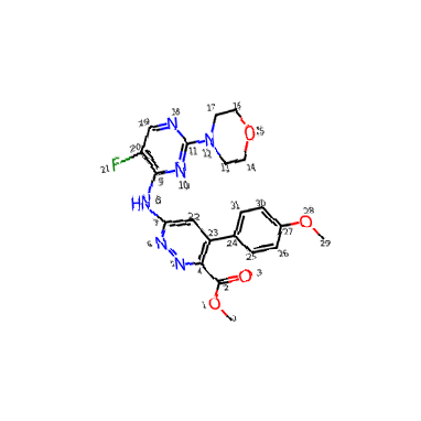 COC(=O)c1nnc(Nc2nc(N3CCOCC3)ncc2F)cc1-c1ccc(OC)cc1